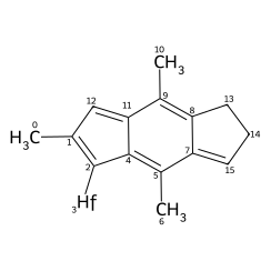 CC1=[C]([Hf])c2c(C)c3c(c(C)c2=C1)CCC=3